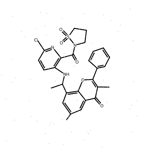 Cc1cc(C(C)Nc2ccc(Cl)nc2C(=O)N2CCCS2(=O)=O)c2oc(-c3ccccc3)c(C)c(=O)c2c1